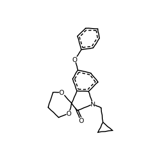 O=C1N(CC2CC2)c2ccc(Oc3ccccc3)cc2C12OCCCO2